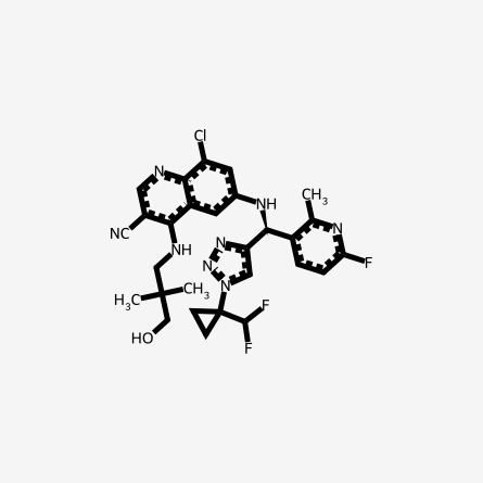 Cc1nc(F)ccc1[C@H](Nc1cc(Cl)c2ncc(C#N)c(NCC(C)(C)CO)c2c1)c1cn(C2(C(F)F)CC2)nn1